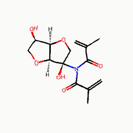 C=C(C)C(=O)N(C(=O)C(=C)C)[C@@]1(O)CO[C@@H]2[C@H](O)CO[C@@H]21